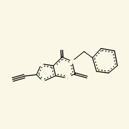 C#Cc1nc2[nH]c(=O)n(Cc3ccccc3)c(=O)c2[nH]1